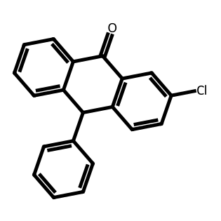 O=C1c2ccccc2C(c2ccccc2)c2ccc(Cl)cc21